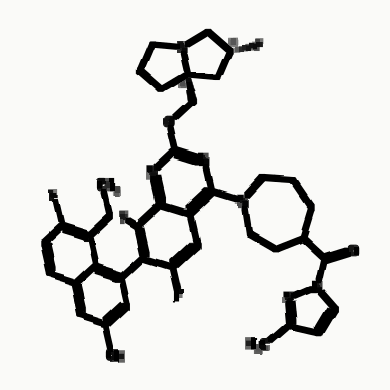 CCc1c(F)ccc2cc(O)cc(-c3c(F)cc4c(N5CCCC(C(=O)n6ccc(C)n6)CC5)nc(OC[C@@]56CCCN5C[C@H](F)C6)nc4c3F)c12